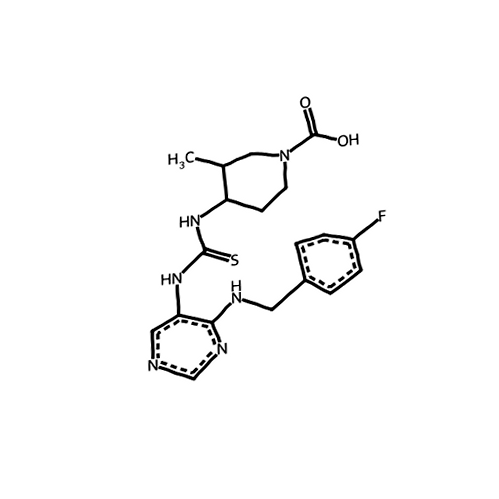 CC1CN(C(=O)O)CCC1NC(=S)Nc1cncnc1NCc1ccc(F)cc1